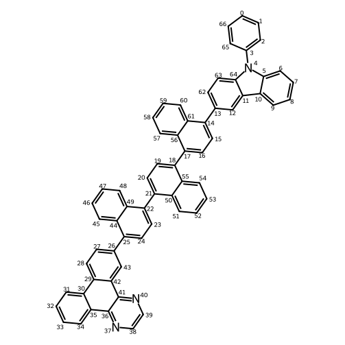 c1ccc(-n2c3ccccc3c3cc(-c4ccc(-c5ccc(-c6ccc(-c7ccc8c9ccccc9c9nccnc9c8c7)c7ccccc67)c6ccccc56)c5ccccc45)ccc32)cc1